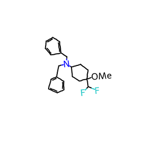 COC1(C(F)F)CCC(N(Cc2ccccc2)Cc2ccccc2)CC1